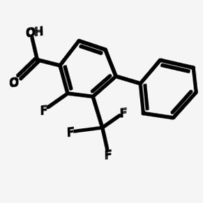 O=C(O)c1ccc(-c2ccccc2)c(C(F)(F)F)c1F